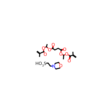 C=C(C)C(=O)OC(C)OC(=O)CCC(=O)OC(C)OC(=O)C(=C)C.O=S(=O)(O)CCN1CCOCC1